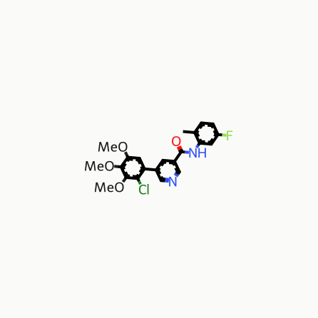 COc1cc(-c2cncc(C(=O)Nc3cc(F)ccc3C)c2)c(Cl)c(OC)c1OC